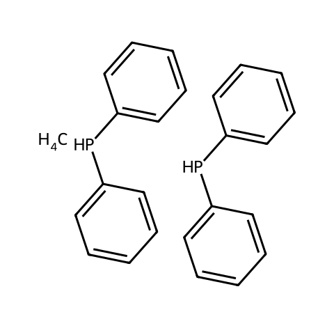 C.c1ccc(Pc2ccccc2)cc1.c1ccc(Pc2ccccc2)cc1